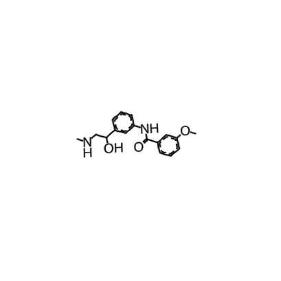 CNCC(O)c1cccc(NC(=O)c2cccc(OC)c2)c1